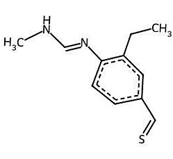 CCc1cc(C=S)ccc1N=CNC